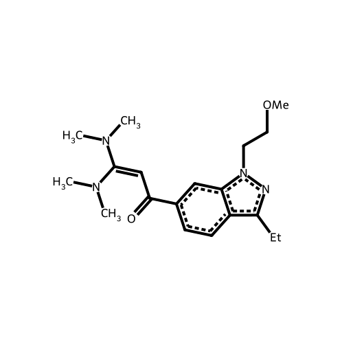 CCc1nn(CCOC)c2cc(C(=O)C=C(N(C)C)N(C)C)ccc12